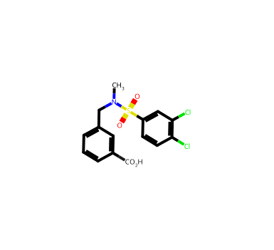 CN(Cc1cccc(C(=O)O)c1)S(=O)(=O)c1ccc(Cl)c(Cl)c1